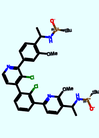 COc1cc(-c2nccc(-c3cccc(-c4ccc(C(C)N[S@@+]([O-])C(C)(C)C)c(OC)n4)c3Cl)c2Cl)ccc1C(C)N[S@@+]([O-])C(C)(C)C